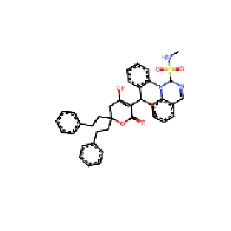 CCC(C1=C(O)CC(CCc2ccccc2)(CCc2ccccc2)OC1=O)c1ccccc1N1c2ccccc2C=NC1S(=O)(=O)NC